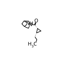 CCC[C@H]1C[C@H]1C(=O)N1CC2CC(C1)N2